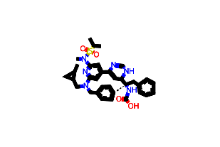 CC1CC1CN(Cc1ccccc1)c1cc(C2=CC([C@@](C)(Cc3ccccc3)NC(=O)O)NC=N2)cc(N(C)S(=O)(=O)C(C)C)n1